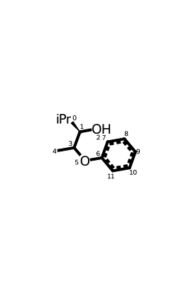 CC(C)[C@@H](O)C(C)Oc1ccccc1